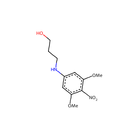 COc1cc(NCCCO)cc(OC)c1[N+](=O)[O-]